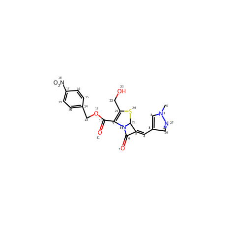 Cn1cc(/C=C2/C(=O)N3C(C(=O)OCc4ccc([N+](=O)[O-])cc4)=C(CO)SC23)cn1